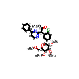 CCCCOC[C@H]1O[C@@H](c2ccc(Cl)c(C(C(=O)OC)c3nccc(-c4ccccc4)n3)c2)[C@H](OCCCC)[C@@H](OCCCC)[C@@H]1OCCCC